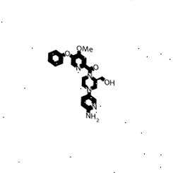 COc1cc(C(=O)N2CCN(c3ccc(N)nc3)C[C@@H]2CO)ncc1Oc1ccccc1